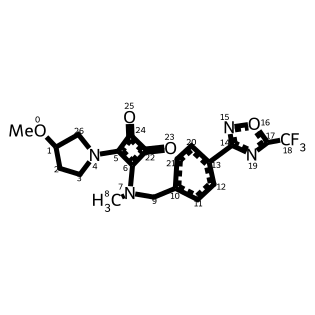 COC1CCN(c2c(N(C)Cc3ccc(-c4noc(C(F)(F)F)n4)cc3)c(=O)c2=O)C1